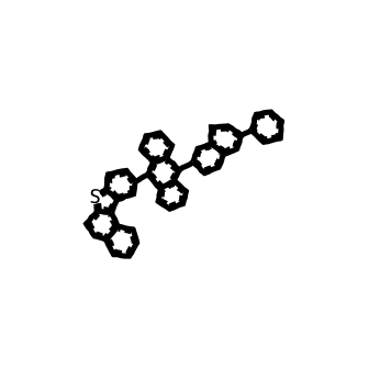 c1ccc(-c2ccc3cc(-c4c5ccccc5c(-c5ccc6sc7ccc8ccccc8c7c6c5)c5ccccc45)ccc3c2)cc1